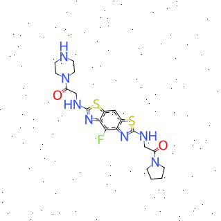 O=C(CNc1nc2c(F)c3nc(NCC(=O)N4CCNCC4)sc3cc2s1)N1CCCC1